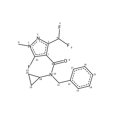 Cn1nc(C(F)F)c(C(=O)N(Cc2ccccc2)C2CC2)c1F